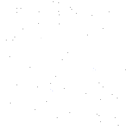 N#Cc1ccc2[nH]cc(C3CCC(C(=O)O)CC3)c2c1